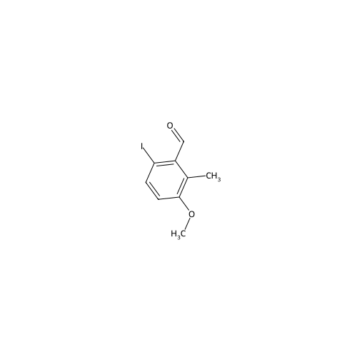 COc1ccc(I)c(C=O)c1C